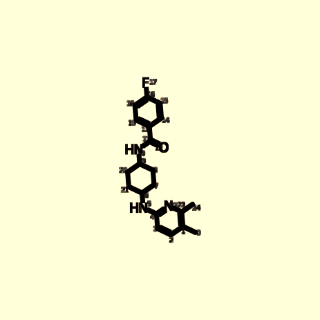 Cc1ccc(NC2CCC(NC(=O)c3ccc(F)cc3)CC2)nc1C